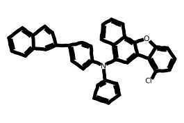 Clc1cccc2oc3c4ccccc4c(N(c4ccccc4)c4ccc(-c5ccc6ccccc6c5)cc4)cc3c12